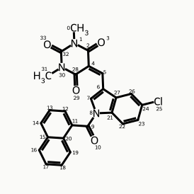 CN1C(=O)C(=Cc2cn(C(=O)c3cccc4ccccc34)c3ccc(Cl)cc23)C(=O)N(C)C1=O